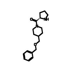 O=C([C@@H]1CCCN1)N1CCC(COCc2ccccc2)CC1